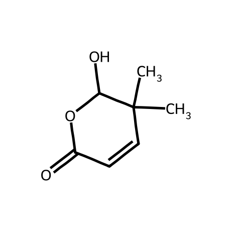 CC1(C)C=CC(=O)OC1O